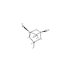 C[C@H]1[C@@H]2C[C@H]1CN(C)C2